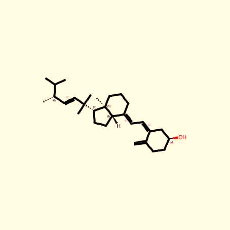 C=C1CC[C@H](O)C/C1=C/C=C1\CCC[C@]2(C)[C@@H](C(C)(C)/C=C/[C@H](C)C(C)C)CC[C@@H]12